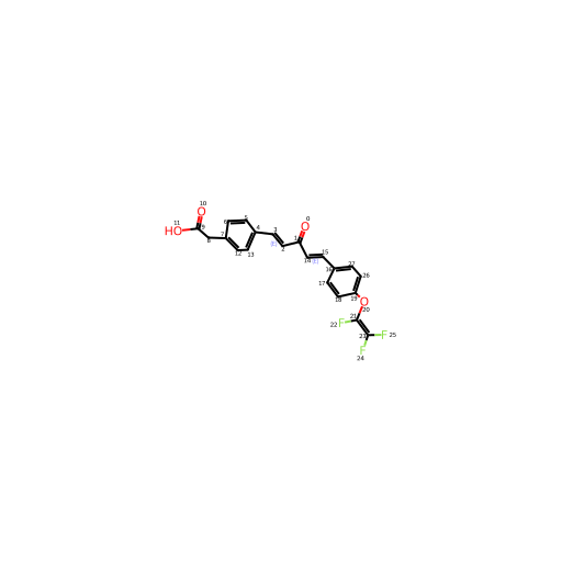 O=C(/C=C/c1ccc(CC(=O)O)cc1)/C=C/c1ccc(OC(F)=C(F)F)cc1